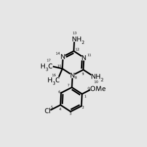 COc1ccc(Cl)cc1N1C(N)=NC(N)=NC1(C)C